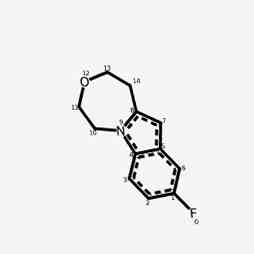 Fc1ccc2c(c1)cc1n2CCOCC1